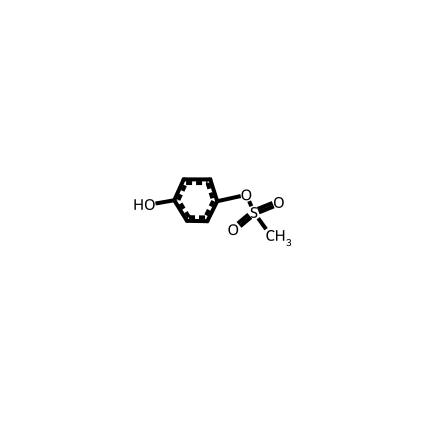 CS(=O)(=O)Oc1ccc(O)cc1